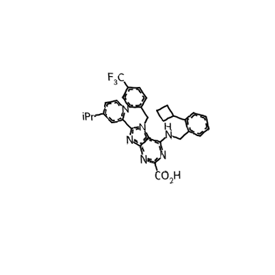 CC(C)c1ccnc(-c2nc3nc(C(=O)O)nc(NCc4ccccc4C4CCC4)c3n2Cc2ccc(C(F)(F)F)cc2)c1